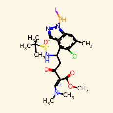 COC(=O)/C(=C\N(C)C)C(=O)CC(N[S+]([O-])C(C)(C)C)c1c(Cl)c(C)cc2c1cnn2PI